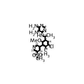 COc1c(C(C)Nc2ncnc(N)c2N)cc(Cl)c(C)c1-c1cncc(S(C)(=O)=O)c1